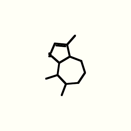 CC1=CSC2C1CCCC(C)C2C